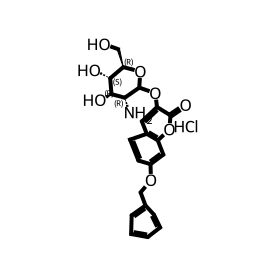 Cl.N[C@H]1C(Oc2cc3ccc(OCc4ccccc4)cc3oc2=O)O[C@H](CO)[C@@H](O)[C@@H]1O